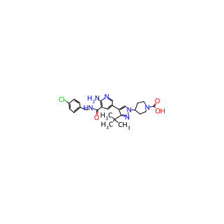 CC(C)(C)c1nn(C2CCN(C(=O)O)CC2)cc1-c1cnc(N)c(C(=O)NCc2ccc(Cl)cc2)c1